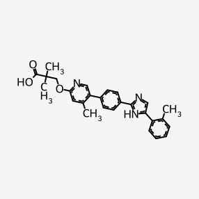 Cc1cc(OCC(C)(C)C(=O)O)ncc1-c1ccc(-c2ncc(-c3ccccc3C)[nH]2)cc1